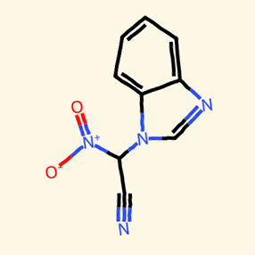 N#CC(n1cnc2ccccc21)[N+](=O)[O-]